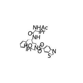 CC(=O)NC(C(=O)N[C@@H](Cc1ccccc1)[C@H](O)CN(CC(C)C)S(=O)(=O)c1ccc2ncsc2c1)C(C)C